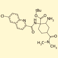 CN(C)C(=O)C1CCC(NC(=O)c2ccc3cc(Cl)ccc3n2)(C(=O)OC(C)(C)C)C(N)C1